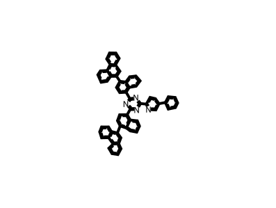 c1ccc(-c2ccc(-c3nc(-c4ccc(-c5cc6ccccc6c6ccccc56)c5ccccc45)nc(-c4ccc(-c5cc6ccccc6c6ccccc56)c5ccccc45)n3)nc2)cc1